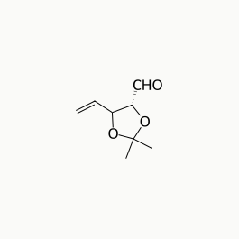 C=CC1OC(C)(C)O[C@H]1C=O